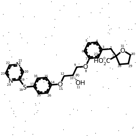 O=C(O)C1(Cc2cccc(OC[C@H](O)COc3ccc(Sc4cnccn4)cc3)c2)CCCO1